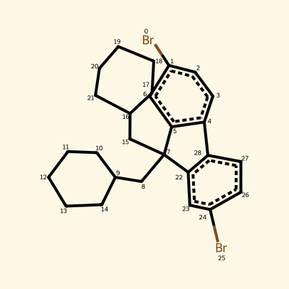 Brc1ccc2c(c1)C(CC1CCCCC1)(CC1CCCCC1)c1cc(Br)ccc1-2